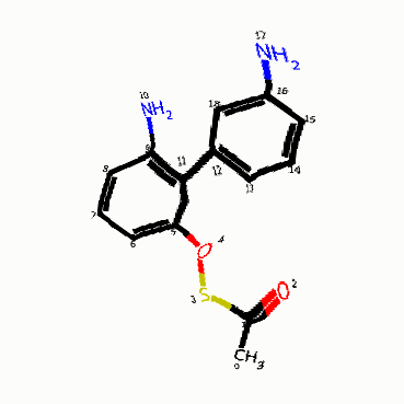 CC(=O)SOc1cccc(N)c1-c1cccc(N)c1